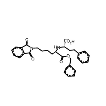 O=C(O)[C@H](CCc1ccccc1)N[C@H](CCCCN1C(=O)c2ccccc2C1=O)C(=O)OCc1ccccc1